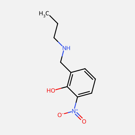 CCCNCc1cccc([N+](=O)[O-])c1O